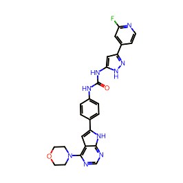 O=C(Nc1ccc(-c2cc3c(N4CCOCC4)ncnc3[nH]2)cc1)Nc1cc(-c2ccnc(F)c2)n[nH]1